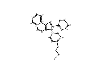 CCCCc1ccc(-n2c(-c3ccccc3)cc3c4ccccc4ccc32)cc1